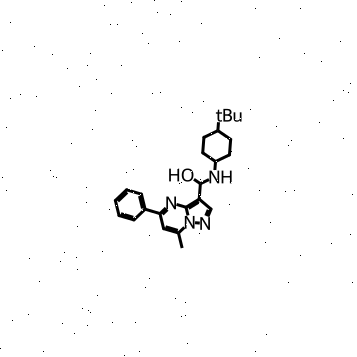 Cc1cc(-c2ccccc2)nc2c(C(O)NC3CCC(C(C)(C)C)CC3)cnn12